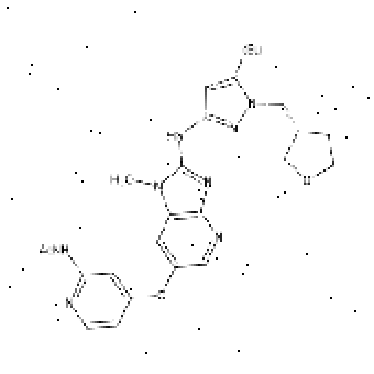 CC(=O)Nc1cc(Oc2cnc3nc(Nc4cc(C(C)(C)C)n(C[C@@H]5CCOC5)n4)n(C)c3c2)ccn1